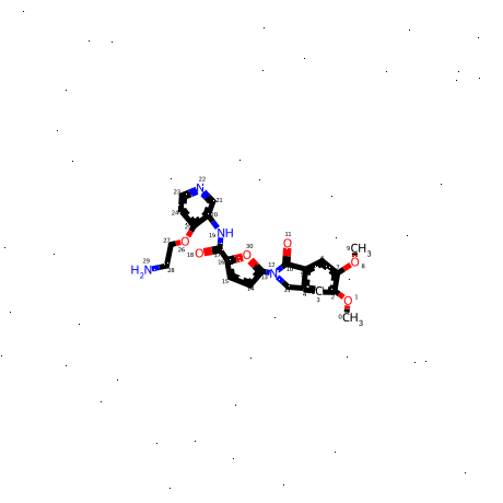 COc1cc2c(cc1OC)C(=O)N(c1ccc(C(=O)Nc3cnccc3OCCN)o1)C2